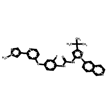 Cn1cc(-c2cc(Oc3ccc(NC(=O)Nc4cc(C(C)(C)C)nn4-c4ccc5cnccc5c4)c(F)c3)ccn2)cn1